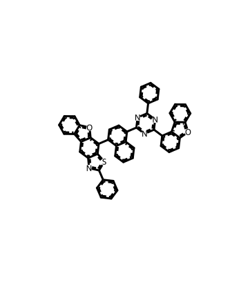 c1ccc(-c2nc(-c3ccc(-c4c5oc6ccccc6c5cc5nc(-c6ccccc6)sc45)c4ccccc34)nc(-c3cccc4oc5ccccc5c34)n2)cc1